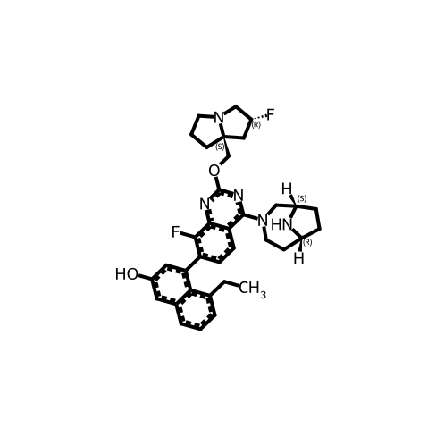 CCc1cccc2cc(O)cc(-c3ccc4c(N5CC[C@H]6CC[C@@H](C5)N6)nc(OC[C@@]56CCCN5C[C@H](F)C6)nc4c3F)c12